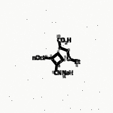 CCCCCCCCC1CCC1C#N.CCOCCC(=O)O.[NaH]